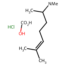 CNC(C)CCC=C(C)C.Cl.O=C(O)O